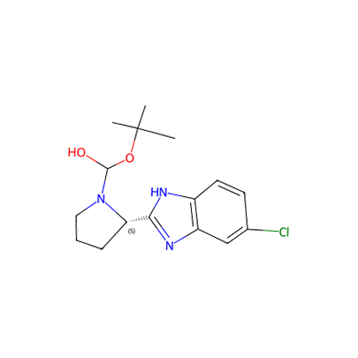 CC(C)(C)OC(O)N1CCC[C@H]1c1nc2cc(Cl)ccc2[nH]1